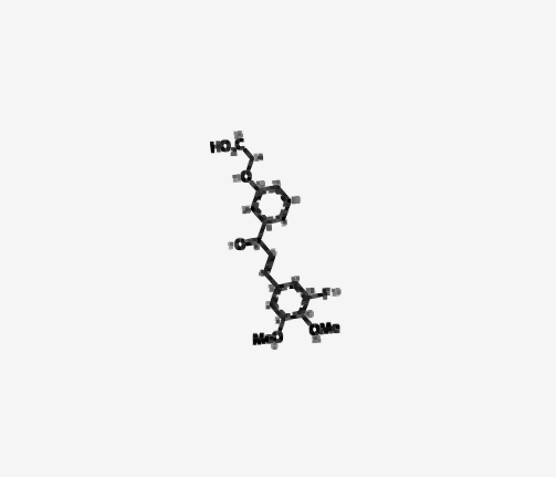 COc1cc(/C=C/C(=O)c2cccc(OCC(=O)O)c2)cc(F)c1OC